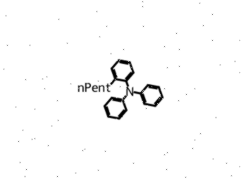 CCCCCc1ccccc1N(c1ccccc1)c1ccccc1